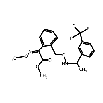 CO/N=C(\C(=O)OC)c1ccccc1CONC(C)c1cccc(C(F)(F)F)c1